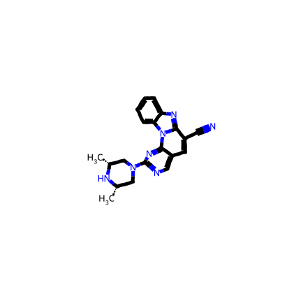 C[C@@H]1CN(c2ncc3cc(C#N)c4nc5ccccc5n4c3n2)C[C@H](C)N1